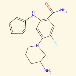 NC(=O)c1cc(F)c(N2CCCC(N)C2)c2c1[nH]c1ccccc12